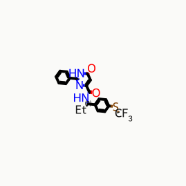 CC[C@@H](NC(=O)c1cc(=O)[nH]c(-c2ccccc2)n1)c1ccc(SC(F)(F)F)cc1